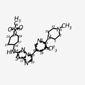 CN1CCN(c2ncc(-c3cnc4sc(NC5CCN(S(C)(=O)=O)CC5)nn34)cc2C(F)(F)F)CC1